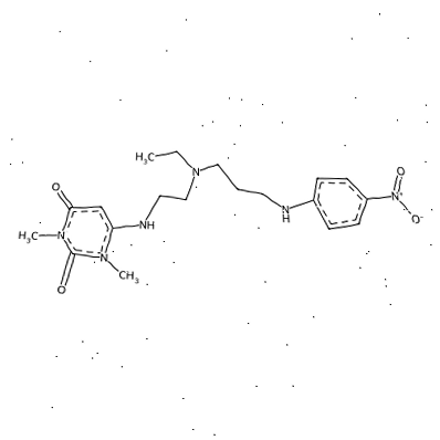 CCN(CCCNc1ccc([N+](=O)[O-])cc1)CCNc1cc(=O)n(C)c(=O)n1C